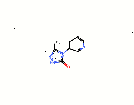 Cc1n[nH]c(=O)n1C1C=NC=CC1